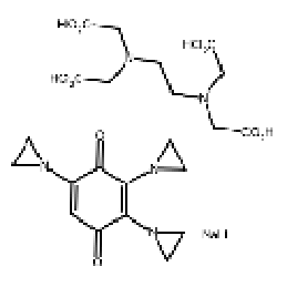 O=C(O)CN(CCN(CC(=O)O)CC(=O)O)CC(=O)O.O=C1C=C(N2CC2)C(=O)C(N2CC2)=C1N1CC1.[NaH]